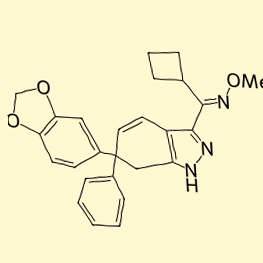 CO/N=C(/c1n[nH]c2c1C=CC(c1ccccc1)(c1ccc3c(c1)OCO3)C2)C1CCC1